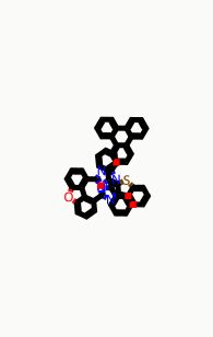 c1ccc(-c2nc(-c3ccc4c5ccccc5c5ccccc5c4c3)nc(-c3cccc4oc5cccc(-c6nc(-c7ccccc7)c7sc8ccccc8c7n6)c5c34)n2)cc1